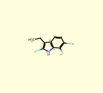 CCc1c(F)[nH]c2c(F)c(F)ccc12